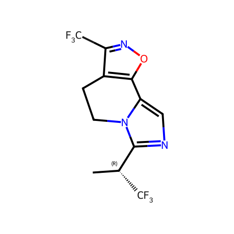 C[C@H](c1ncc2n1CCc1c(C(F)(F)F)noc1-2)C(F)(F)F